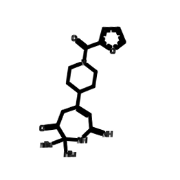 CCCCC1(CCCC)NC(=N)C=C(C2CCN(C(=O)c3ccco3)CC2)CC1=O